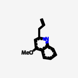 C=CCc1cc(OC)c2ccccc2n1